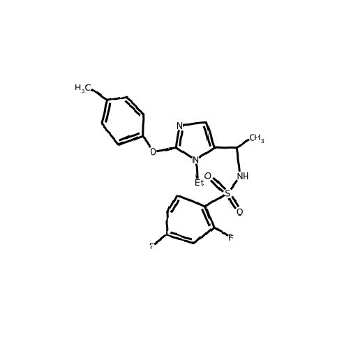 CCn1c(C(C)NS(=O)(=O)c2ccc(F)cc2F)cnc1Oc1ccc(C)cc1